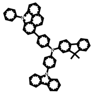 CC1(C)c2ccccc2-c2ccc(N(c3ccc(-c4ccc5c6c4ccc4cccc(c46)n5-c4ccccc4)cc3)c3ccc(-n4c5ccccc5c5ccccc54)cc3)cc21